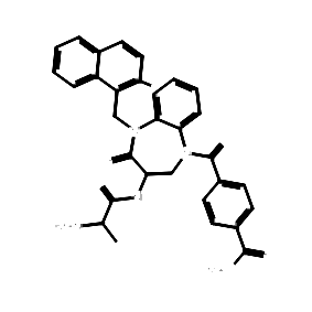 CNC(C)C(=O)NC1CN(C(=O)c2ccc(C(=O)OC)cc2)c2ccccc2N(Cc2c(C)ccc3ccccc23)C1=O.Cl